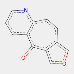 O=c1c2cocc2ccc2ncccc12